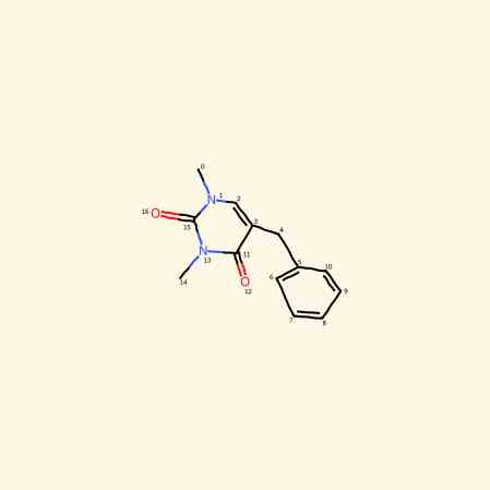 Cn1cc(Cc2ccccc2)c(=O)n(C)c1=O